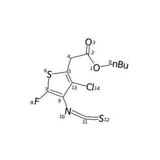 CCCCOC(=O)Cc1sc(F)c(N=C=S)c1Cl